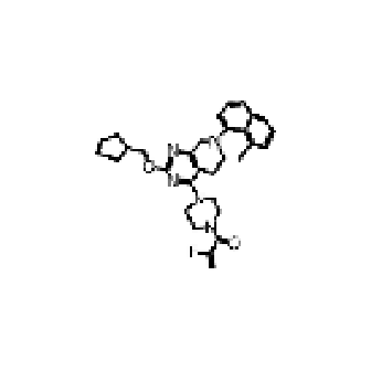 C=C(F)C(=O)N1CCN(c2nc(OCC3CCCC3)nc3c2CCN(c2cccc4cccc(C)c24)C3)CC1